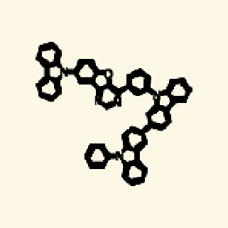 c1ccc(-n2c3ccccc3c3cc(-c4ccc5c6ccccc6n(-c6cccc(-c7ncnc8c7oc7ccc(-n9c%10ccccc%10c%10ccccc%109)cc78)c6)c5c4)ccc32)cc1